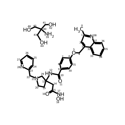 Cc1cc(COc2ccc(C(=O)NC3(CC(=O)NO)CCN(Cc4ccccn4)C3)cc2)c2ccccc2n1.NC(CO)(CO)CO